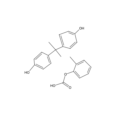 CC(C)(c1ccc(O)cc1)c1ccc(O)cc1.Cc1ccccc1OC(=O)O